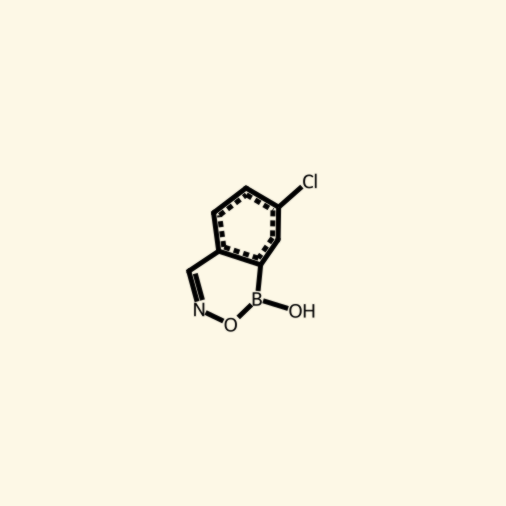 OB1ON=Cc2ccc(Cl)cc21